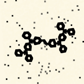 C(=C\c1ccc(N(c2ccccc2)c2ccc(N(c3ccccc3)c3ccccc3)cc2)cc1)/c1ccc(N(c2ccccc2)c2ccc(N(c3ccccc3)c3ccccc3)cc2)cc1